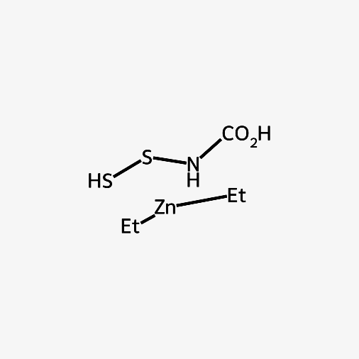 C[CH2][Zn][CH2]C.O=C(O)NSS